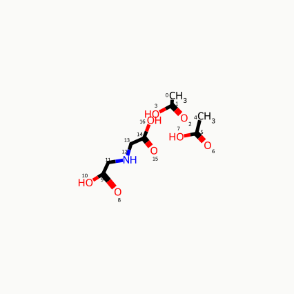 CC(=O)O.CC(=O)O.O=C(O)CNCC(=O)O